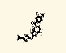 O=C(c1ccc(C(F)(F)F)c(F)c1)N1CCC(=O)N2C[C@H](Oc3cnc(C4CC4)cn3)C[C@@H]2C1